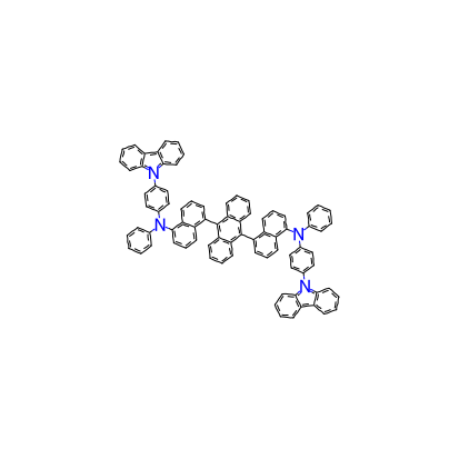 c1ccc(N(c2ccc(-n3c4ccccc4c4ccccc43)cc2)c2cccc3c(-c4c5ccccc5c(-c5cccc6c(N(c7ccccc7)c7ccc(-n8c9ccccc9c9ccccc98)cc7)cccc56)c5ccccc45)cccc23)cc1